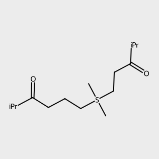 CC(C)C(=O)CCCS(C)(C)CCC(=O)C(C)C